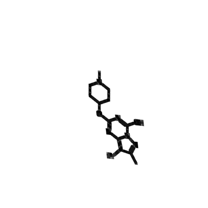 Cc1nn2c(O)nc(OC3CCN(C)CC3)nc2c1C(C)C